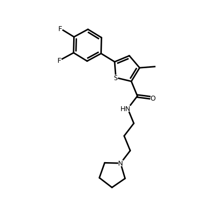 Cc1cc(-c2ccc(F)c(F)c2)sc1C(=O)NCCCN1CCCC1